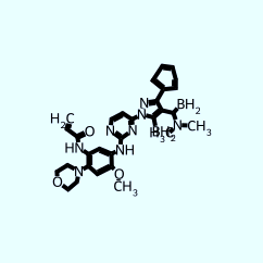 Bc1c(C(B)N(C)C)c(-c2ccccc2)nn1-c1ccnc(Nc2cc(NC(=O)C=C)c(N3CCOCC3)cc2OC)n1